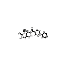 CN(CC1CCC(C(=O)N2CCC(c3ccncc3)CC2)CC1)C(=O)OC(C)(C)C